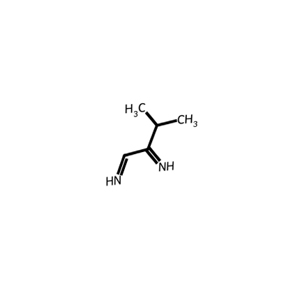 CC(C)C(=N)C=N